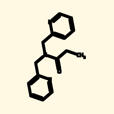 CCC(=O)N(Cc1ccccn1)Cc1ccccn1